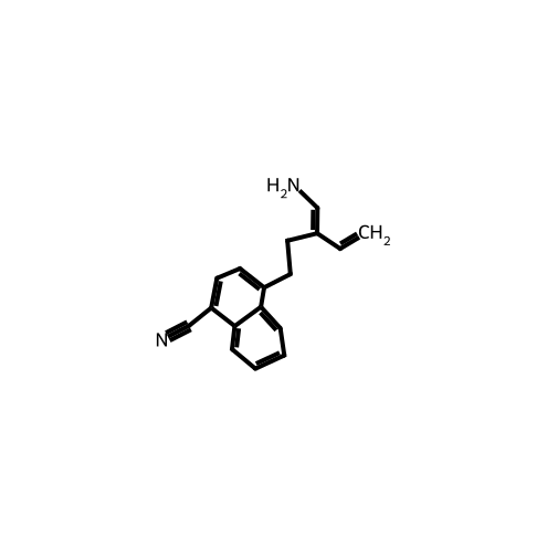 C=C/C(=C/N)CCc1ccc(C#N)c2ccccc12